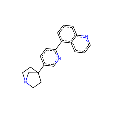 c1cc(-c2ccc(C34CCN(CC3)C4)cn2)c2cccnc2c1